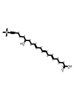 C[Si](C)(C)C#CCCCC(O)CCC=CCC=CCC=CCCCC(=O)O